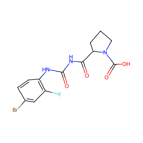 O=C(NC(=O)C1CCCN1C(=O)O)Nc1ccc(Br)cc1F